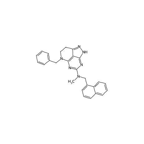 CN(Cc1cccc2ccccc12)c1nc2c3c(n[nH]c3n1)CCN2Cc1ccccc1